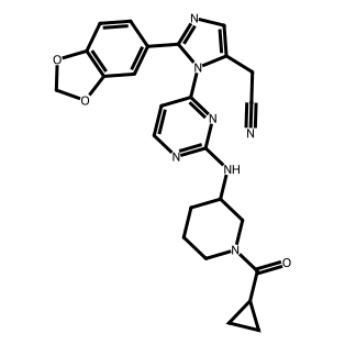 N#CCc1cnc(-c2ccc3c(c2)OCO3)n1-c1ccnc(NC2CCCN(C(=O)C3CC3)C2)n1